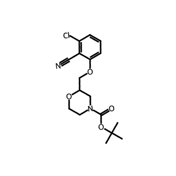 CC(C)(C)OC(=O)N1CCOC(COc2cccc(Cl)c2C#N)C1